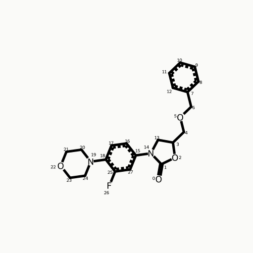 O=C1OC(COCc2ccccc2)CN1c1ccc(N2CCOCC2)c(F)c1